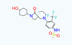 CS(=O)(=O)Nc1ccc(N2CCC[C@@]3(CCN(C4CCC(O)CC4)C3=O)C2)c(C(F)(F)F)c1